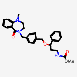 COC(=O)NCCC(OCc1ccc(CN2CCN(C)c3ccccc3C2=O)cc1)c1ccccc1